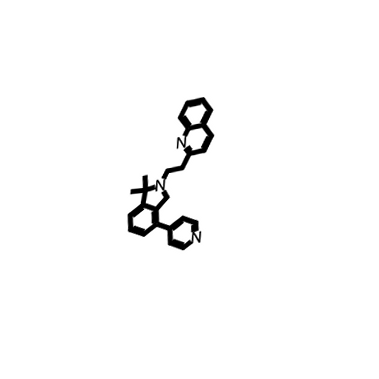 CC1(C)c2cccc(-c3ccncc3)c2CN1CCc1ccc2ccccc2n1